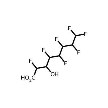 O=C(O)C(F)C(O)C(F)C(F)C(F)C(F)C(F)F